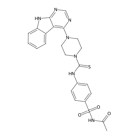 CC(=O)NS(=O)(=O)c1ccc(NC(=S)N2CCN(c3ncnc4[nH]c5ccccc5c34)CC2)cc1